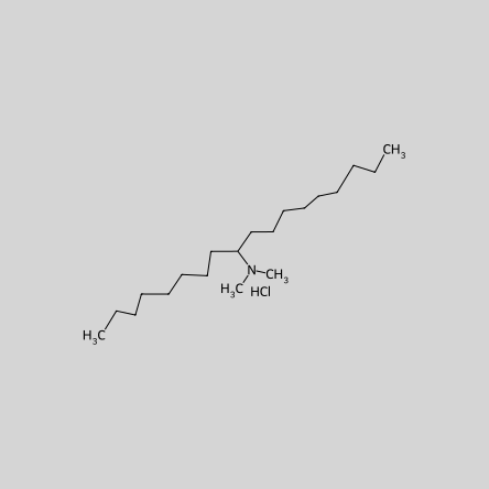 CCCCCCCCCC(CCCCCCCC)N(C)C.Cl